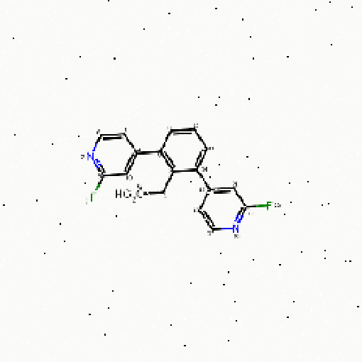 O=C(O)Cc1c(-c2ccnc(F)c2)cccc1-c1ccnc(F)c1